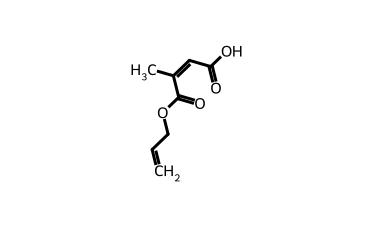 C=CCOC(=O)/C(C)=C\C(=O)O